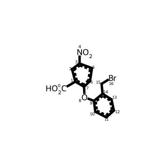 O=C(O)c1cc([N+](=O)[O-])ccc1Oc1ccccc1CBr